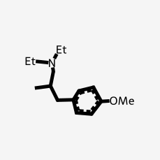 CCN(CC)CC(C)Cc1ccc(OC)cc1